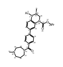 CC(=O)N1c2ccc(-c3ccc(C(=O)N4CCCN(C)CC4)cc3)cc2N(C(=O)OC(C)C)C[C@@H]1C